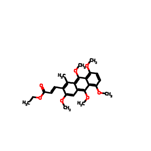 CCOC(=O)C=Cc1c(OC)cc2c(OC)c3c(OC)ccc(OC)c3c(OC)c2c1C